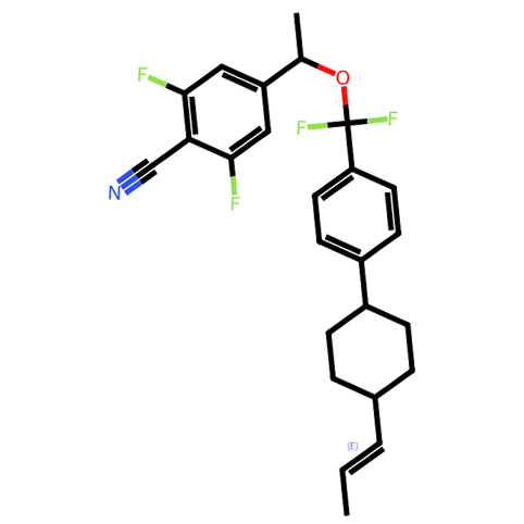 C/C=C/C1CCC(c2ccc(C(F)(F)OC(C)c3cc(F)c(C#N)c(F)c3)cc2)CC1